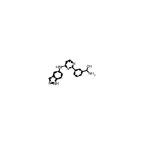 NC(O)c1cccc(-c2nccc(Nc3ccc4[nH]ncc4c3)n2)c1